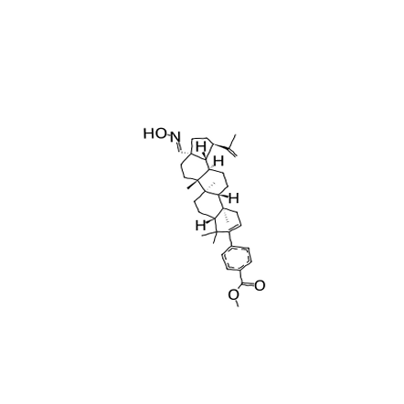 C=C(C)[C@@H]1CC[C@]2(/C=N/O)CC[C@]3(C)[C@H](CC[C@@H]4[C@@]5(C)CC=C(c6ccc(C(=O)OC)cc6)C(C)(C)[C@@H]5CC[C@]43C)[C@@H]12